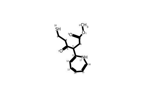 COC(=O)CC(C(=O)CCS)C1=CC=CC=CN1